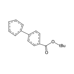 CC(C)(C)OC(=O)c1ccc(-c2ccccc2)cc1